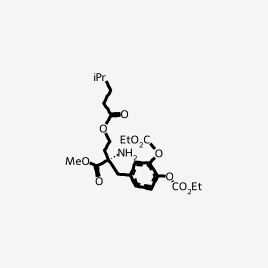 CCOC(=O)Oc1ccc(C[C@](N)(CCOC(=O)CCC(C)C)C(=O)OC)cc1OC(=O)OCC